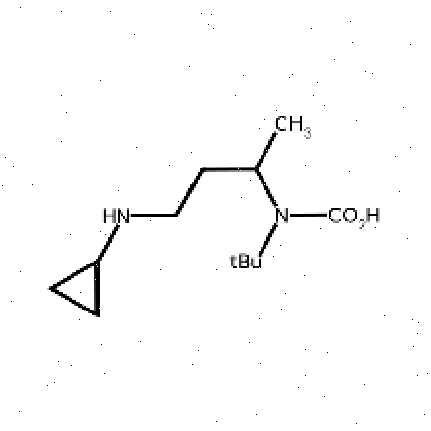 CC(CCNC1CC1)N(C(=O)O)C(C)(C)C